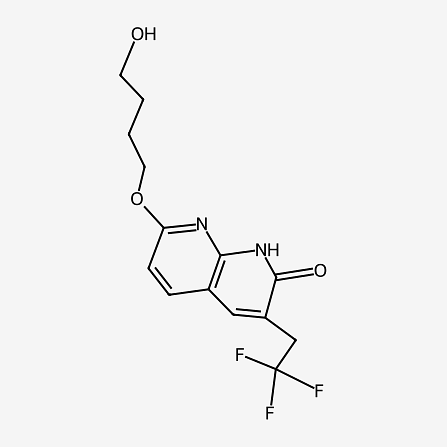 O=c1[nH]c2nc(OCCCCO)ccc2cc1CC(F)(F)F